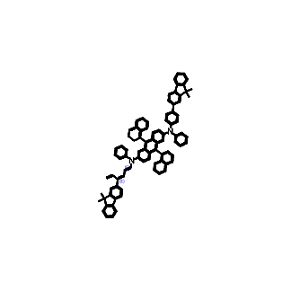 C=C/C(=C\C=C\N(c1ccccc1)c1ccc2c(-c3cccc4ccccc34)c3cc(N(c4ccccc4)c4ccc(-c5ccc6c(c5)C(C)(C)c5ccccc5-6)cc4)ccc3c(C3=c4ccccc4=CCC3)c2c1)c1ccc2c(c1)C(C)(C)c1ccccc1-2